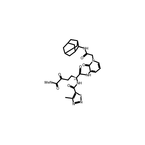 CNC(=O)C(=O)CC[C@H](NC(=O)c1snnc1C)C(=O)Nc1cccn(CC(=O)NC2C3CC4CC(C3)CC2C4)c1=O